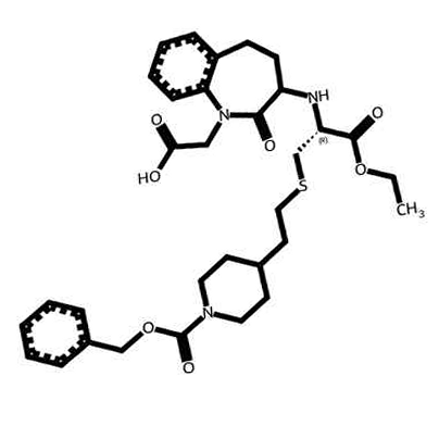 CCOC(=O)[C@H](CSCCC1CCN(C(=O)OCc2ccccc2)CC1)NC1CCc2ccccc2N(CC(=O)O)C1=O